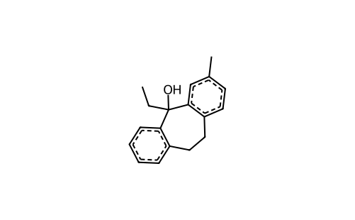 CCC1(O)c2ccccc2CCc2ccc(C)cc21